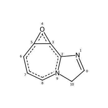 C1=Nc2c3oc-3cccn2C1